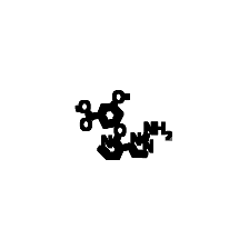 COC(=O)c1cc(OC)cc(Oc2ncccc2-c2ccnc(N)n2)c1